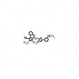 COc1cccc(-c2cn(C)c(CSc3nc4ccccc4c4c(C#N)c(C)nn34)n2)c1